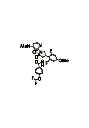 CNc1ccnc(N2C[C@@H](c3c(F)cc(OC)cc3F)[C@H](NC(=O)c3ccc(OC(F)F)cc3)C2=O)c1C(F)(F)F